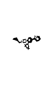 CC1(C)CC(c2cc(-c3ccccn3)ccc2N2CCN(CC3CC3)CC2)CC(C)(C)C1